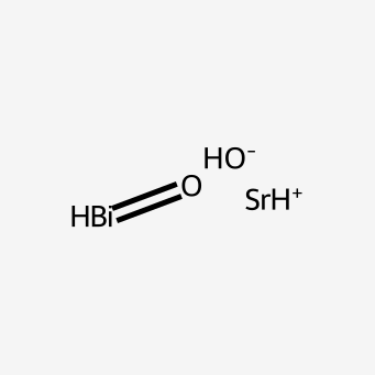 [OH-].[O]=[BiH].[SrH+]